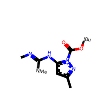 C/N=C(\NC)Nc1cc(C)nn1C(=O)OC(C)(C)C